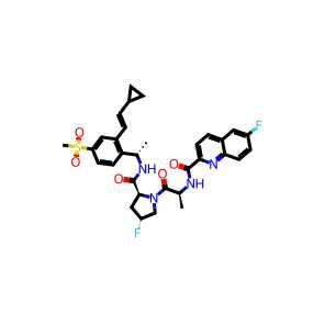 C[C@H](NC(=O)c1ccc2cc(F)ccc2n1)C(=O)N1C[C@H](F)C[C@H]1C(=O)N[C@@H](C)c1ccc(S(C)(=O)=O)cc1/C=C/C1CC1